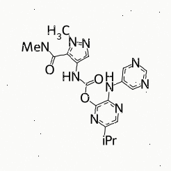 CNC(=O)c1c(NC(=O)Oc2nc(C(C)C)cnc2Nc2cncnc2)cnn1C